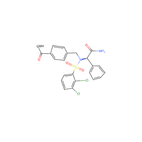 COC(=O)c1ccc(CN([C@@H](C(N)=O)c2ccccc2)S(=O)(=O)c2cccc(Cl)c2Cl)cc1